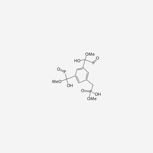 COC(O)(P=O)c1cc(CP(=O)(O)OC)cc(C(O)(OC)P=O)c1